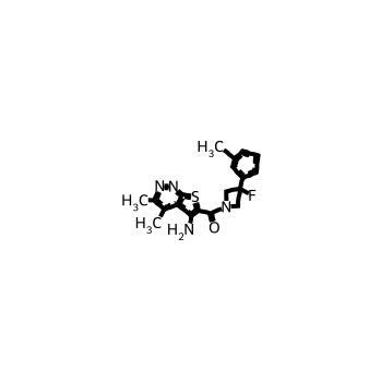 Cc1cccc(C2(F)CN(C(=O)c3sc4nnc(C)c(C)c4c3N)C2)c1